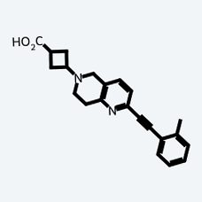 Cc1ccccc1C#Cc1ccc2c(n1)CCN(C1CC(C(=O)O)C1)C2